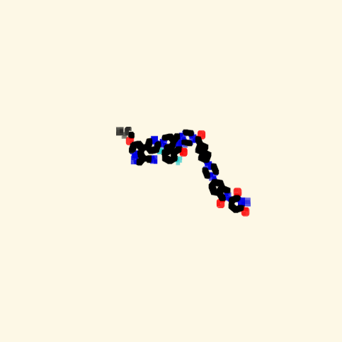 CCOc1cc(-c2ccc(N3CCC(CN4CCN(C(=O)C5CC6(C5)CC(N5CCN(c7ccc8c(c7)CN(C7CCC(=O)NC7=O)C8=O)CC5)C6)CC4)(NC(=O)c4cc(F)ccc4F)CC3)nc2)c2c(C#N)cnn2c1